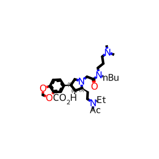 CCCCN(CCCN(C)C)C(=O)CN1C[C@H](c2ccc3c(c2)OCO3)[C@@H](C(=O)O)[C@@H]1CCN(CC)C(C)=O